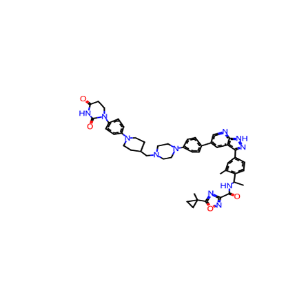 Cc1cc(-c2n[nH]c3ncc(-c4ccc(N5CCN(CC6CCN(c7ccc(N8CCC(=O)NC8=O)cc7)CC6)CC5)cc4)cc23)ccc1C(C)NC(=O)c1noc(C2(C)CC2)n1